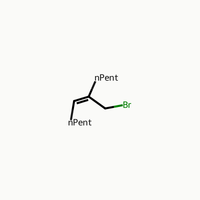 CCCCCC=C(CBr)CCCCC